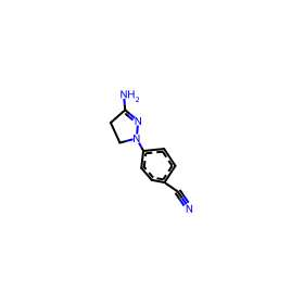 N#Cc1ccc(N2CCC(N)=N2)cc1